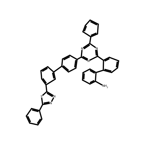 Nc1ccccc1-c1ccccc1-c1nc(-c2ccccc2)nc(-c2ccc(-c3cccc(-c4nnc(-c5ccccc5)s4)c3)cc2)n1